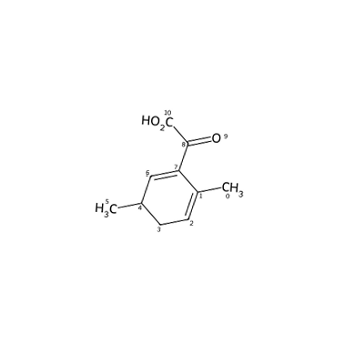 CC1=CCC(C)[C]=C1C(=O)C(=O)O